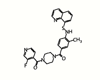 Cc1cc(C(=O)N2CCN(C(=O)c3ccncc3F)CC2)ccc1NSc1cccc2cccnc12